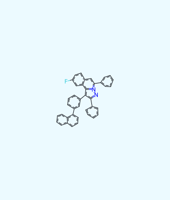 Fc1ccc2cc(-c3ccccc3)n3nc(-c4ccccc4)c(-c4cccc(-c5cccc6ccccc56)c4)c3c2c1